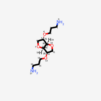 NCCCO[C@H]1CO[C@H]2[C@@H]1OC[C@H]2OCCCN